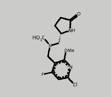 COc1nc(Cl)cc(F)c1CN(C[C@@H]1CCC(=O)N1)C(=O)O